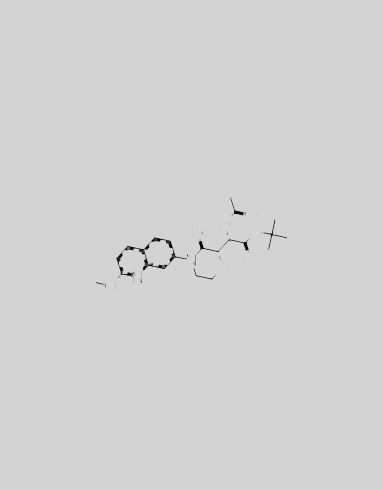 COc1ccc2ccc(N3CCO[C@H]([C@@H](OC(C)=O)C(=O)OC(C)(C)C)C3=O)cc2n1